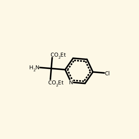 CCOC(=O)C(N)(C(=O)OCC)c1ccc(Cl)cn1